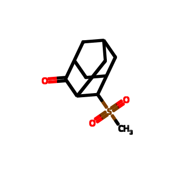 CS(=O)(=O)C1C2CC3CC(C2)C(=O)C1C3